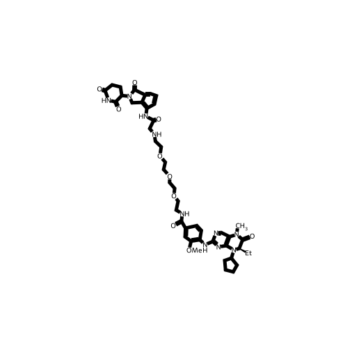 CC[C@@H]1C(=O)N(C)c2cnc(Nc3ccc(C(=O)NCCOCCOCCOCCNCC(=O)Nc4cccc5c4CN(C4CCC(=O)NC4=O)C5=O)cc3OC)nc2N1C1CCCC1